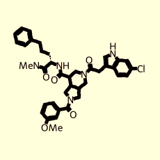 CNC(=O)[C@H](CCCc1ccccc1)NC(=O)C1CN(C(=O)Cc2c[nH]c3cc(Cl)ccc23)CC2CN(C(=O)c3cccc(OC)c3)CC21